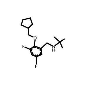 CC(C)(C)NCc1cc(F)cc(F)c1OCC1CCCC1